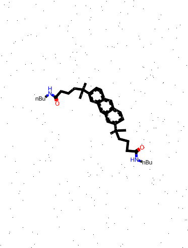 CCCCNC(=O)CCCC(C)(C)c1ccc2cc3ccc(C(C)(C)CCCC(=O)NCCCC)cc3cc2c1